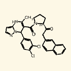 CC1=C(C(=O)N2CCC[C@H]2C(=O)Cc2ccc3ccccc3c2)C(c2ccc(Cl)c(Cl)c2)n2nccc2N1